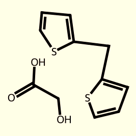 O=C(O)CO.c1csc(Cc2cccs2)c1